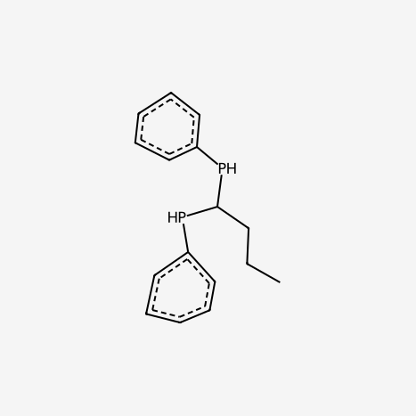 CCCC(Pc1ccccc1)Pc1ccccc1